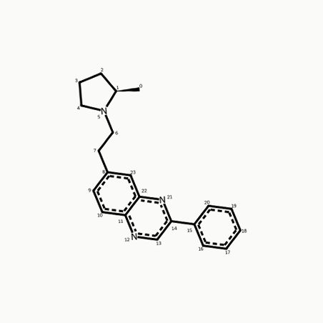 C[C@@H]1CCCN1CCc1ccc2ncc(-c3ccccc3)nc2c1